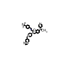 CN(c1ccncc1)c1ccc(CN(C(=O)/C=C/c2ccc(C(F)(F)F)cc2)C2CCN(Cc3ccn4ccnc4c3)CC2)cc1